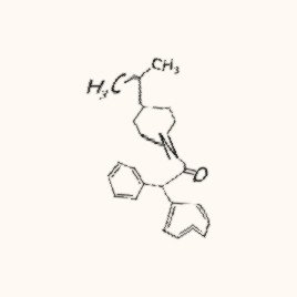 CC(C)C1CCN(C(=O)C(c2ccccc2)c2ccccc2)CC1